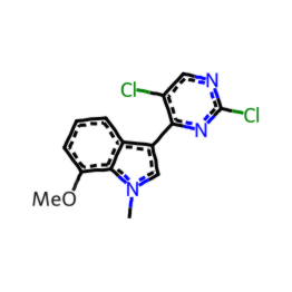 COc1cccc2c(-c3nc(Cl)ncc3Cl)cn(C)c12